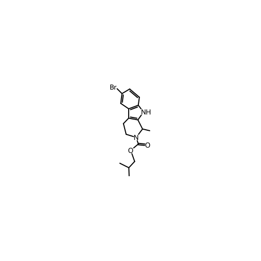 CC(C)COC(=O)N1CCc2c([nH]c3ccc(Br)cc23)C1C